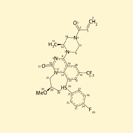 C=CC(=O)N1CCN(c2nc(=O)n3c4c(cc(C(F)(F)F)cc24)[SH](c2ccc(F)cc2)C[C@@H](OC)C3)[C@@H](C)C1